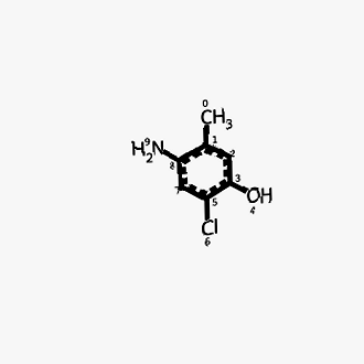 Cc1cc(O)c(Cl)cc1N